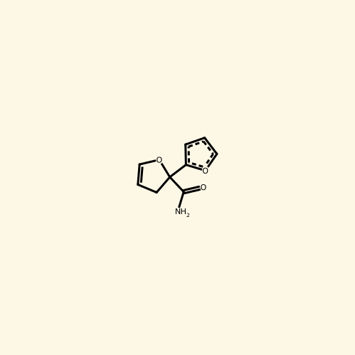 NC(=O)C1(c2ccco2)CC=CO1